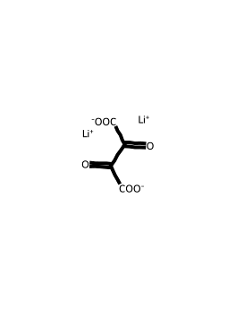 O=C([O-])C(=O)C(=O)C(=O)[O-].[Li+].[Li+]